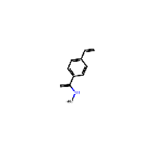 C=Cc1ccc(C(=C)NCCCC)cc1